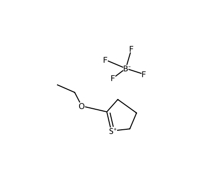 CCOC1=[S+]CCC1.F[B-](F)(F)F